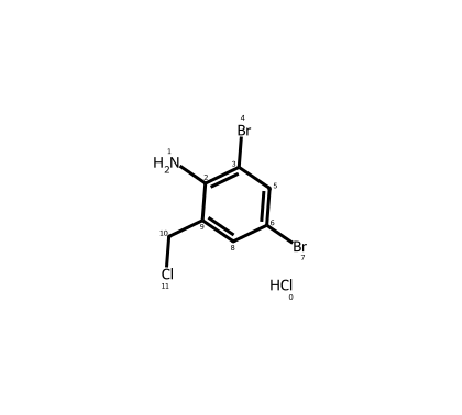 Cl.Nc1c(Br)cc(Br)cc1CCl